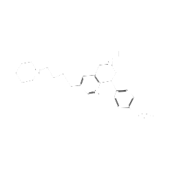 COc1ccc(C2CN(C)Cc3cc(CCCCN4CCCCC4)cnc32)cc1